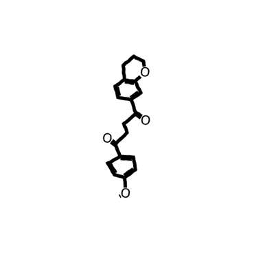 COc1ccc(C(=O)CCC(=O)c2ccc3c(c2)OCCC3)cc1